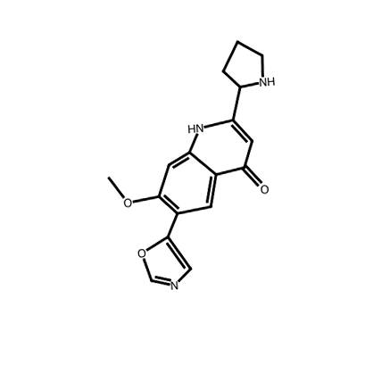 COc1cc2[nH]c(C3CCCN3)cc(=O)c2cc1-c1cnco1